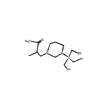 COC(=O)C(C)CN1CCCN([Si](CC(C)C)(CC(C)C)CC(C)C)C1